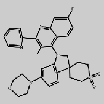 Cc1c(-c2ccccn2)nc2cc(F)ccc2c1N1CC2(CCS(=O)(=O)CC2)c2ccc(N3CCOCC3)cc21